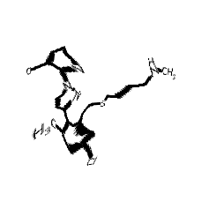 CNCCCCSCc1cc(Cl)cc(C)c1-c1ccn(-c2ncccc2Cl)n1